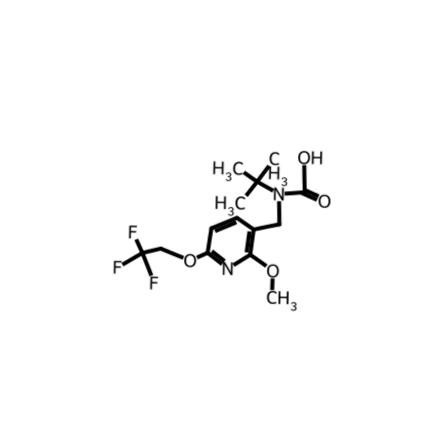 COc1nc(OCC(F)(F)F)ccc1CN(C(=O)O)C(C)(C)C